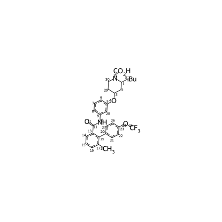 CCC(C)C1CC(Oc2cccc(NC(=O)c3cccc(C)c3-c3ccc(OC(F)(F)F)cc3)c2)CCN1C(=O)O